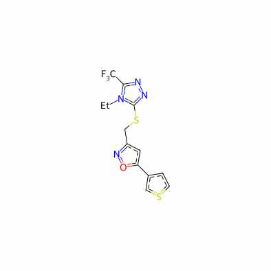 CCn1c(SCc2cc(-c3ccsc3)on2)nnc1C(F)(F)F